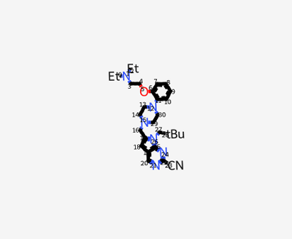 CCN(CC)CCOc1ccccc1N1CCN(Cc2cc3cnc(C#N)nc3n2CC(C)(C)C)CC1